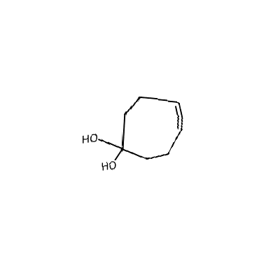 OC1(O)CCC=CCC1